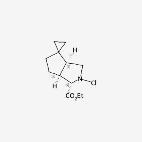 CCOC(=O)[C@@H]1[C@H]2CCC3(CC3)[C@H]2CN1Cl